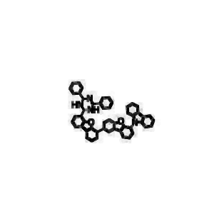 c1ccc(C2=NC(c3ccccc3)NC(c3cccc4c3oc3c(-c5ccc6oc7c(-n8c9ccccc9c9ccccc98)cccc7c6c5)cccc34)N2)cc1